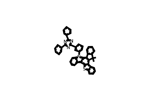 CC1(C)c2ccccc2-c2c1c1c3ccccc3sc1c1c3ccccc3n(-c3cccc(-c4nc(-c5ccccc5)nc(-c5ccccc5)n4)c3)c21